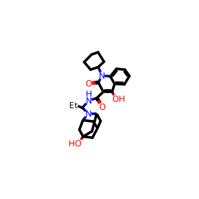 CCC(NC(=O)c1c(O)c2ccccc2n(C2CCCCC2)c1=O)N1C2CC3CC1CC(O)(C3)C2